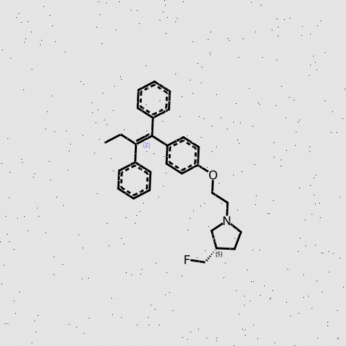 CC/C(=C(\c1ccccc1)c1ccc(OCCN2CC[C@H](CF)C2)cc1)c1ccccc1